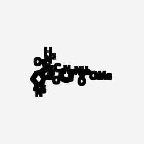 COCC(=O)Nc1ccc(Oc2sc(C(N)=O)c3c2-c2sncc2CC3)c(C)n1